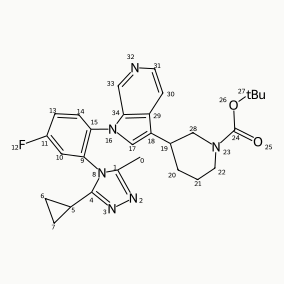 Cc1nnc(C2CC2)n1-c1cc(F)ccc1-n1cc(C2CCCN(C(=O)OC(C)(C)C)C2)c2ccncc21